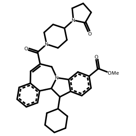 COC(=O)c1ccc2c(c1)N1CC(C(=O)N3CCC(N4CCCC4=O)CC3)=Cc3ccccc3C1C2C1CCCCC1